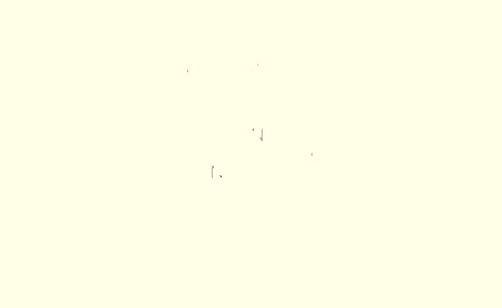 Cn1c(C(=O)O)cnc1-c1ccccc1Cl